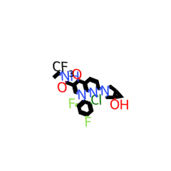 C[C@H](NC(=O)c1cn(-c2c(F)cc(F)cc2Cl)c2nc(N3CC4CC4(O)C3)ccc2c1=O)C(F)(F)F